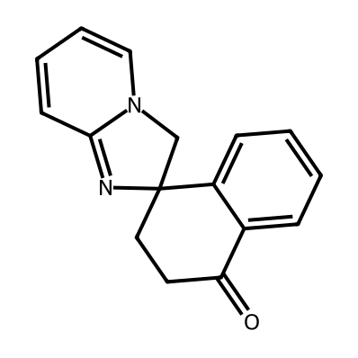 O=C1CCC2(CN3C=CC=CC3=N2)c2ccccc21